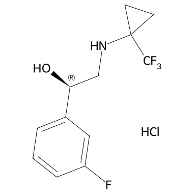 Cl.O[C@@H](CNC1(C(F)(F)F)CC1)c1cccc(F)c1